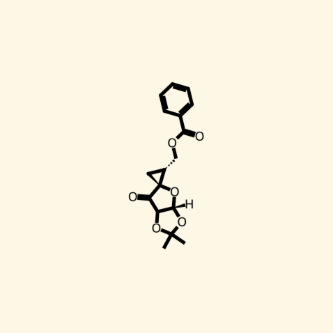 CC1(C)OC2C(=O)[C@@]3(C[C@@H]3COC(=O)c3ccccc3)O[C@@H]2O1